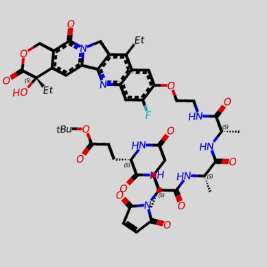 CCc1c2c(nc3cc(F)c(OCCNC(=O)[C@H](C)NC(=O)[C@H](C)NC(=O)[C@H](C)NC(=O)[C@H](CCC(=O)OC(C)(C)C)NC(=O)CCCN4C(=O)C=CC4=O)cc13)-c1cc3c(c(=O)n1C2)COC(=O)[C@]3(O)CC